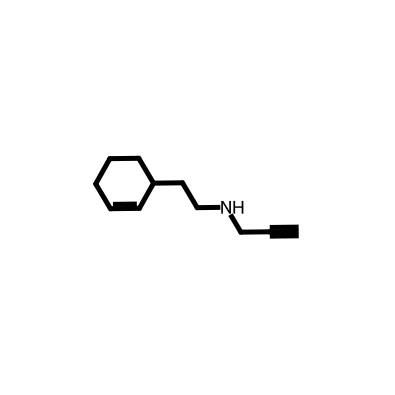 C#CCNCCC1C=CCCC1